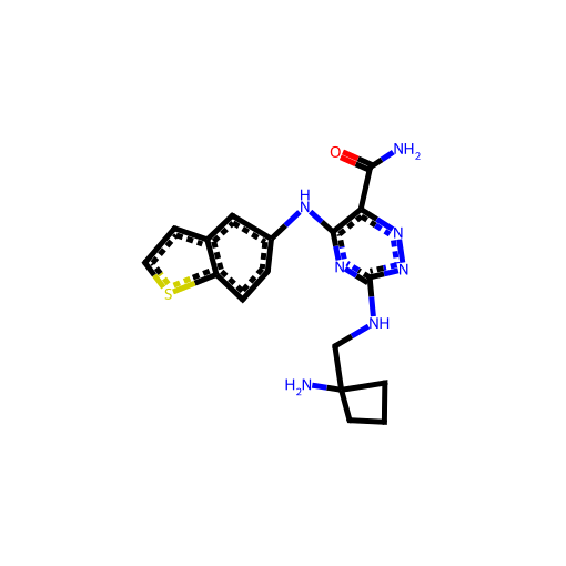 NC(=O)c1nnc(NCC2(N)CCC2)nc1Nc1ccc2sccc2c1